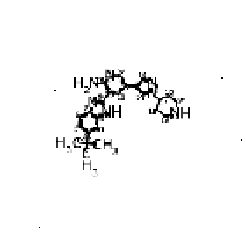 CC(C)(C)c1ccc2nc(-c3cc(-c4cnn(C5CCNCC5)c4)cnc3N)[nH]c2c1